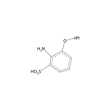 CCCOc1cccc(S(=O)(=O)O)c1N